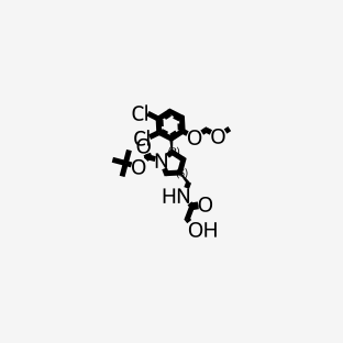 COCOc1ccc(Cl)c(Cl)c1[C@H]1C[C@@H](CNC(=O)CO)CN1C(=O)OC(C)(C)C